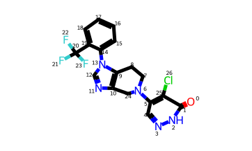 O=c1[nH]ncc(N2CCc3c(ncn3-c3ccccc3C(F)(F)F)C2)c1Cl